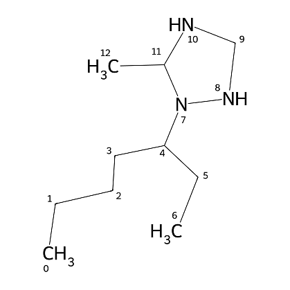 CCCCC(CC)N1NCNC1C